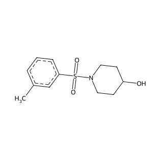 Cc1cccc(S(=O)(=O)N2CCC(O)CC2)c1